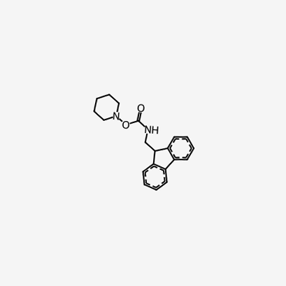 O=C(NCC1c2ccccc2-c2ccccc21)ON1CCCCC1